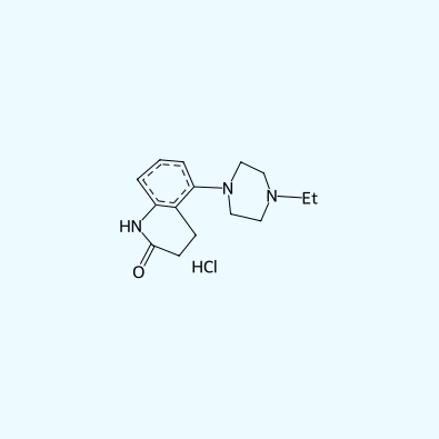 CCN1CCN(c2cccc3c2CCC(=O)N3)CC1.Cl